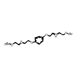 CCCCOCCOCCOc1ccc(OCCOCCOCCCC)cc1